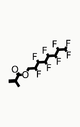 C=C(C)C(=O)OCC(F)C(F)C(F)C(F)C(F)C(F)C(F)F